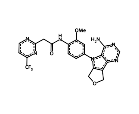 COc1cc(-n2c3c(c4ncnc(N)c42)COC3)ccc1NC(=O)Cc1nccc(C(F)(F)F)n1